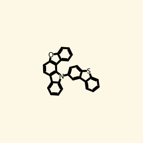 c1ccc2c(c1)oc1ccc3c4ccccc4n(-c4ccc5sc6ccccc6c5c4)c3c12